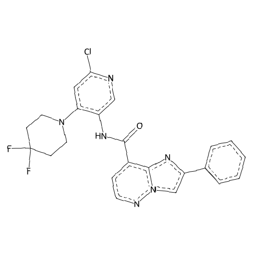 O=C(Nc1cnc(Cl)cc1N1CCC(F)(F)CC1)c1ccnn2cc(-c3ccccc3)nc12